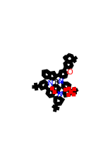 CC(C)(C)c1ccc(N2B3c4cc(N(c5ccc(C(C)(C)C)cc5)c5ccc(C(C)(C)C)cc5)ccc4N(c4ccc(C(C)(C)C)cc4-c4ccccc4)c4c3c(cc3ccccc43)-c3cc4c(cc32)oc2cc3c(cc24)C(C)(C)CCC3(C)C)cc1